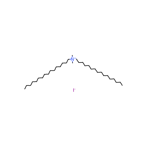 CCCCCCCCCCCCCCCC[N+](C)(C)CCCCCCCCCCCCCCCC.[I-]